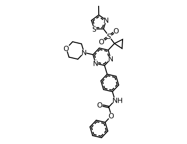 Cc1csc(S(=O)(=O)C2(c3cc(N4CCOCC4)nc(-c4ccc(NC(=O)Oc5ccccc5)cc4)n3)CC2)n1